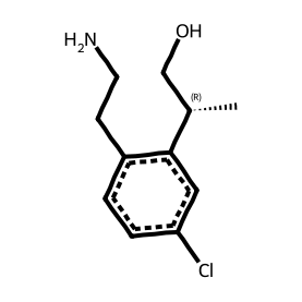 C[C@@H](CO)c1cc(Cl)ccc1CCN